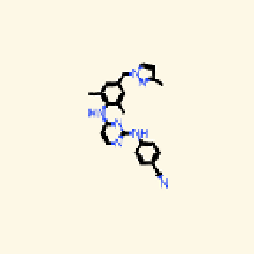 Cc1ccn(Cc2cc(C)c(Nc3ccnc(Nc4ccc(C#N)cc4)n3)c(C)c2)n1